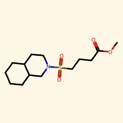 COC(=O)CCCS(=O)(=O)N1CCC2CCCCC2C1